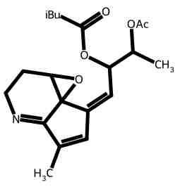 CCC(C)C(=O)OC(/C=C1/C=C(C)C2=NCCC3OC213)C(C)OC(C)=O